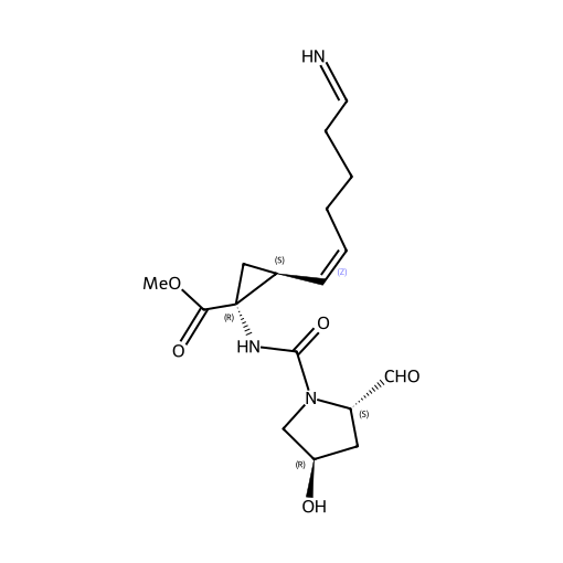 COC(=O)[C@@]1(NC(=O)N2C[C@H](O)C[C@H]2C=O)C[C@H]1/C=C\CCCC=N